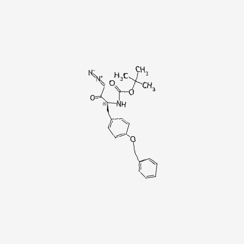 CC(C)(C)OC(=O)N[C@@H](Cc1ccc(OCc2ccccc2)cc1)C(=O)C=[N+]=[N-]